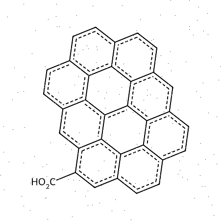 O=C(O)c1cc2ccc3ccc4cc5ccc6ccc7ccc8cc1c1c2c3c4c2c5c6c7c8c12